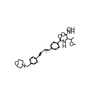 COC(C)C(NC(=O)c1ccc(/C=C/C#Cc2ccc(CN3CCOCC3)cc2)cc1)C(=O)NO